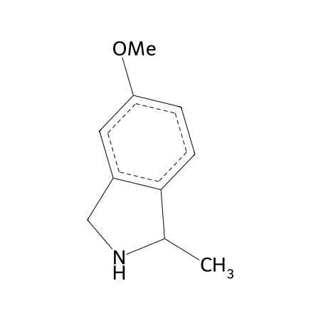 COc1ccc2c(c1)CNC2C